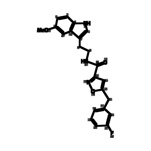 COc1ccc2[nH]cc(CCNC(=O)c3cc(Cc4cccc(F)c4)on3)c2c1